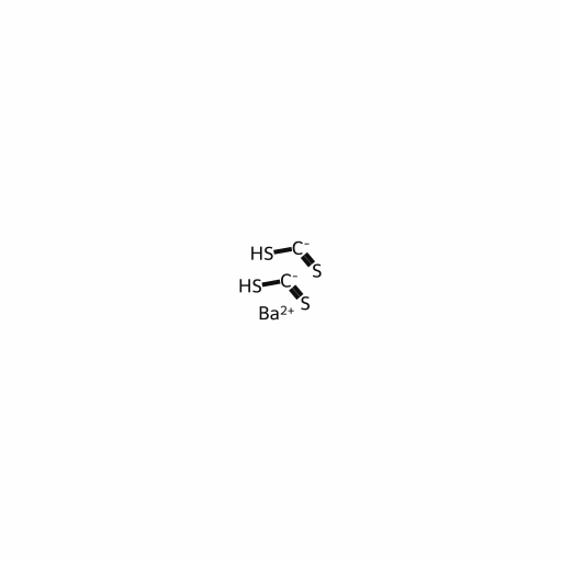 S=[C-]S.S=[C-]S.[Ba+2]